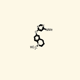 CNc1cc(Oc2ccc3c(c2)CCCN3C(=O)O)ncn1